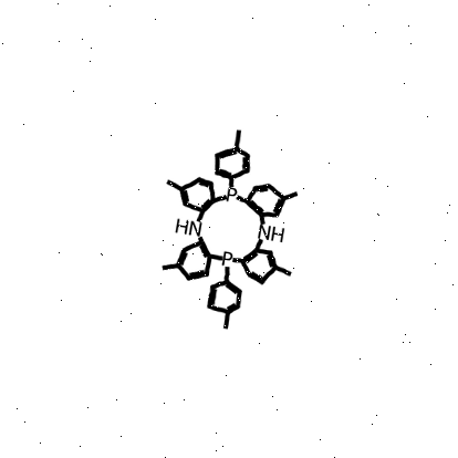 Cc1ccc(P2c3ccc(C)cc3Nc3cc(C)ccc3P(c3ccc(C)cc3)c3ccc(C)cc3Nc3cc(C)ccc32)cc1